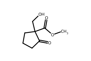 COC(=O)C1(CO)CCCC1=O